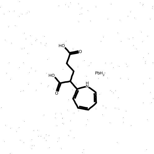 O=C(O)CCC(C(=O)O)C1=CC=CC=CN1.[PbH2]